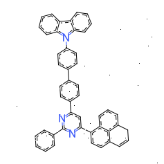 C1=Cc2ccc(-c3cc(-c4ccc(-c5ccc(-n6c7ccccc7c7ccccc76)cc5)cc4)nc(-c4ccccc4)n3)c3cccc(c23)C1